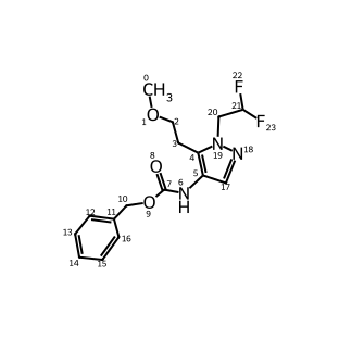 COCCc1c(NC(=O)OCc2ccccc2)cnn1CC(F)F